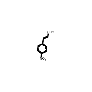 O=CC=Cc1ccc([N+](=O)[O-])cc1